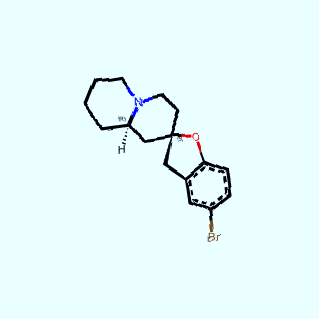 Brc1ccc2c(c1)C[C@@]1(CCN3CCCC[C@@H]3C1)O2